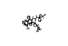 CCOC(=O)CCCC(C(=O)COCC1CC1)C(=O)c1cncc(C)c1